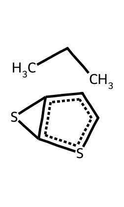 CCC.c1cc2c(s1)S2